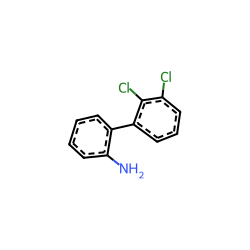 Nc1ccccc1-c1cccc(Cl)c1Cl